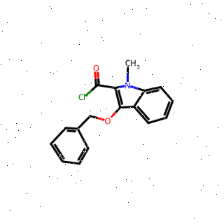 Cn1c(C(=O)Cl)c(OCc2ccccc2)c2ccccc21